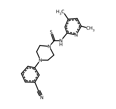 Cc1cc(C)nc(NC(=S)N2CCN(c3cccc(C#N)c3)CC2)c1